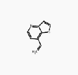 C=Cc1ccnc2ccsc12